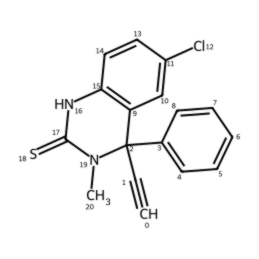 C#CC1(c2ccccc2)c2cc(Cl)ccc2NC(=S)N1C